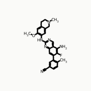 COc1cc2c(cc1Nc1ncc3c(N)c(F)c(-c4cc(C#N)ccc4C)cc3n1)CN(C)CC2